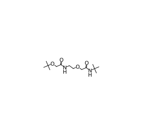 CC(C)(C)NC(=O)COCCNC(=O)COC(C)(C)C